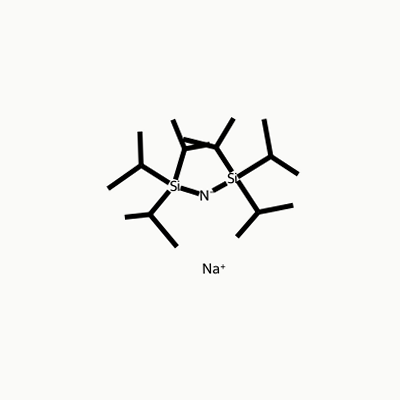 CC(C)[Si]([N-][Si](C(C)C)(C(C)C)C(C)C)(C(C)C)C(C)C.[Na+]